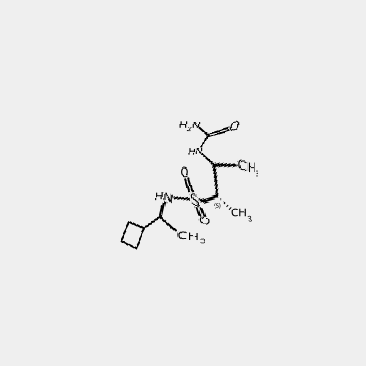 CC(NS(=O)(=O)[C@@H](C)C(C)NC(N)=O)C1CCC1